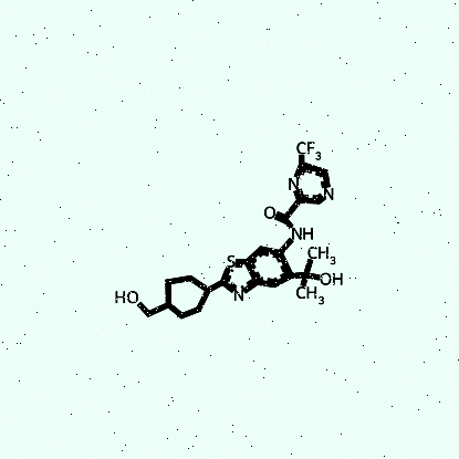 CC(C)(O)c1cc2nc(C3CCC(CO)CC3)sc2cc1NC(=O)c1cncc(C(F)(F)F)n1